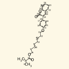 CC(C)C(=O)OCCSCCSCCOc1ccc(-c2cc3cccnc3oc2=O)cc1